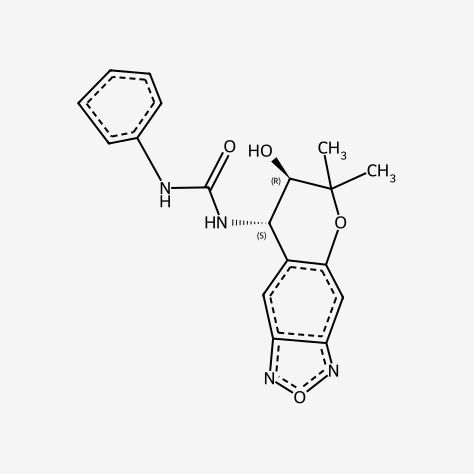 CC1(C)Oc2cc3nonc3cc2[C@H](NC(=O)Nc2ccccc2)[C@H]1O